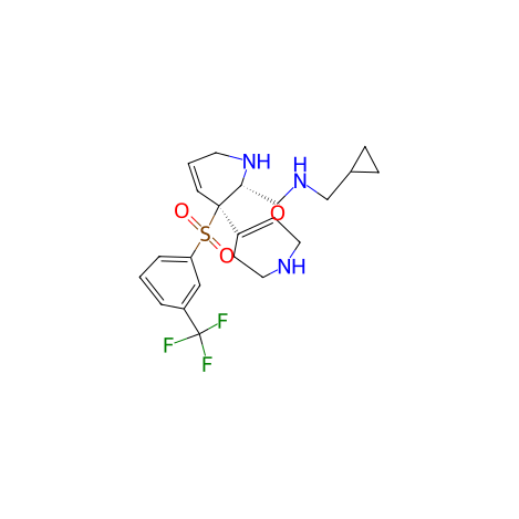 O=C(NCC1CC1)[C@H]1NCC=C[C@]1(C1=CCNCC1)S(=O)(=O)c1cccc(C(F)(F)F)c1